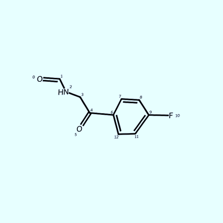 O=CNCC(=O)c1ccc(F)cc1